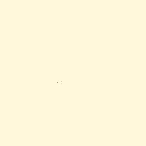 [CH]c1ccc(OCC#C)cc1